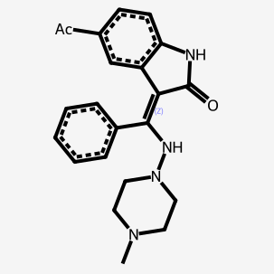 CC(=O)c1ccc2c(c1)/C(=C(/NN1CCN(C)CC1)c1ccccc1)C(=O)N2